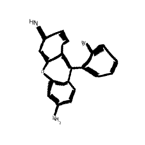 N=c1ccc2c(-c3ccccc3Br)c3ccc(N)cc3oc-2c1